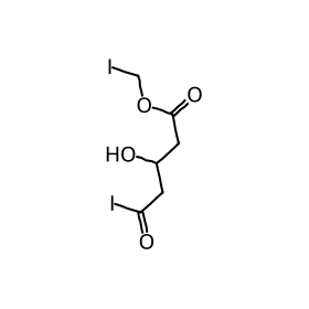 O=C(I)CC(O)CC(=O)OCI